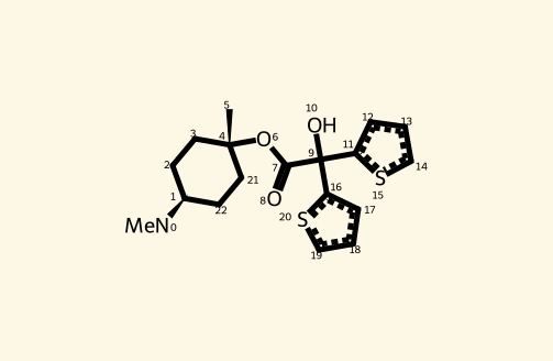 CN[C@H]1CC[C@](C)(OC(=O)C(O)(c2cccs2)c2cccs2)CC1